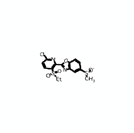 CCS(=O)(=O)c1ccc(Cl)nc1-c1nc2cc([S+](C)[O-])ccc2o1